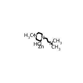 CN(C)CCN1CCN(C)CC1.Cl.[Zn]